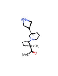 COC(=O)C1(C)CCC1N1CCC[C@H](C2CNC2)C1